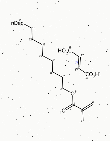 C=C(C)C(=O)OCCCCCCCCCCCCCCCCCC.O=C(O)/C=C/C(=O)O